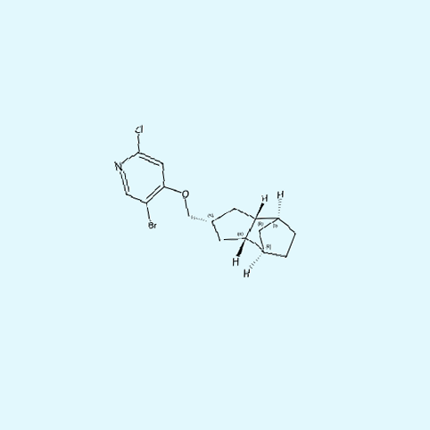 Clc1cc(OC[C@@H]2C[C@@H]3[C@H]4CC[C@H](C4)[C@@H]3C2)c(Br)cn1